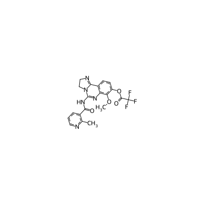 COc1c(OC(=O)C(F)(F)F)ccc2c1N=C(NC(=O)c1cccnc1C)N1CCN=C21